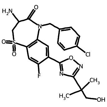 CC(C)(CO)c1noc(-c2cc3c(cc2F)S(=O)(=O)CC(N)C(=O)N3Cc2ccc(Cl)cc2)n1